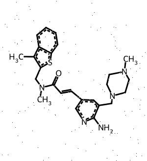 Cc1c(CN(C)C(=O)C=Cc2cnc(N)c(CN3CCN(C)CC3)c2)sc2ccccc12